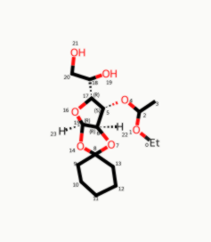 CCOC(C)O[C@@H]1[C@H]2OC3(CCCCC3)O[C@H]2O[C@@H]1C(O)CO